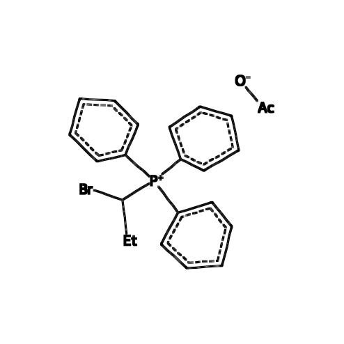 CC(=O)[O-].CCC(Br)[P+](c1ccccc1)(c1ccccc1)c1ccccc1